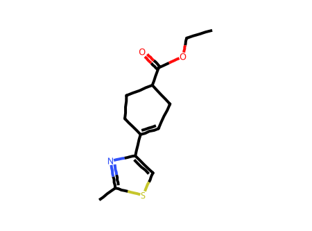 CCOC(=O)C1CC=C(c2csc(C)n2)CC1